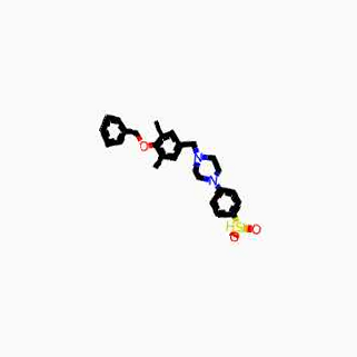 Cc1cc(CN2CCN(c3ccc([SH](=O)=O)cc3)CC2)cc(C)c1OCc1ccccc1